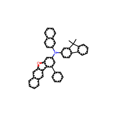 CC1(C)c2ccccc2-c2ccc(N(c3ccc4ccccc4c3)c3cc(-c4ccccc4)c4c(c3)oc3cc5ccccc5cc34)cc21